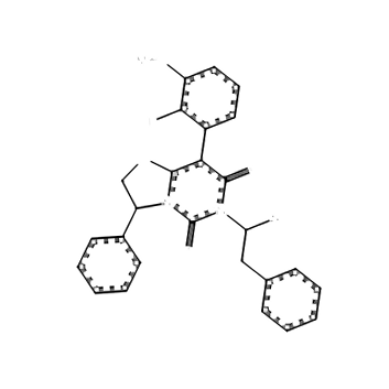 COc1cccc(-c2c3n(c(=O)n(C(N)Cc4ccccc4)c2=O)C(c2ccccc2)CO3)c1F